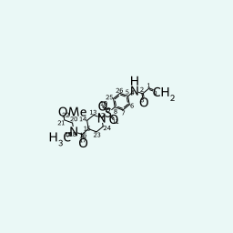 C=CC(=O)Nc1ccc(S(=O)(=O)N2CCC(C(=O)N(C)CCOC)CC2)cc1